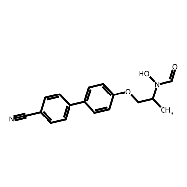 CC(COc1ccc(-c2ccc(C#N)cc2)cc1)N(O)C=O